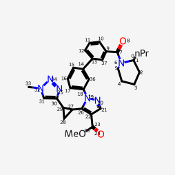 CCCC1CCCCN1C(=O)c1cccc(-c2cccc(-n3ncc(C(=O)OC)c3C3CC3c3cn(C)nn3)c2)c1